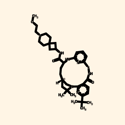 COCCN1CCC2(CC1)CC(NC(=O)C1CC[C@@H]3CN(c4nc(C(C)(C)C)ccc4C(=O)NSc4cccc(n4)N1)C(C)(C)C3)C2